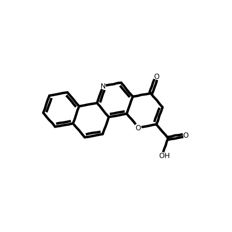 O=C(O)c1cc(=O)c2cnc3c4ccccc4ccc3c2o1